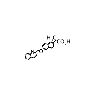 C[C@H](C(=O)O)c1ccc2cc(OCc3ccc4ccccc4n3)ccc2c1